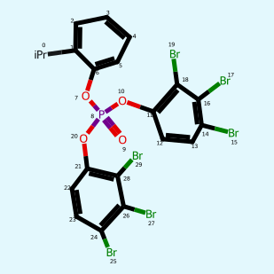 CC(C)c1ccccc1OP(=O)(Oc1ccc(Br)c(Br)c1Br)Oc1ccc(Br)c(Br)c1Br